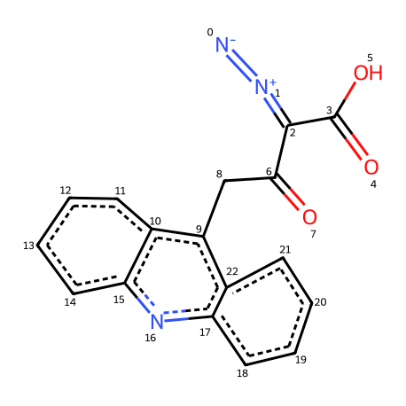 [N-]=[N+]=C(C(=O)O)C(=O)Cc1c2ccccc2nc2ccccc12